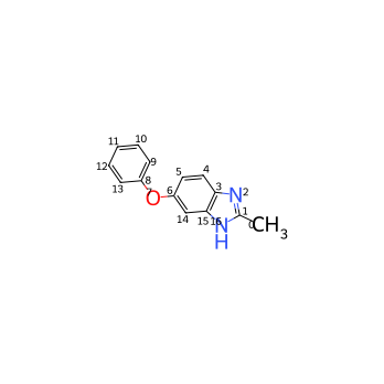 Cc1nc2ccc(Oc3ccccc3)cc2[nH]1